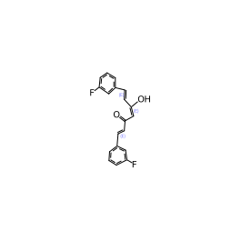 O=C(/C=C/c1cccc(F)c1)/C=C(O)\C=C\c1cccc(F)c1